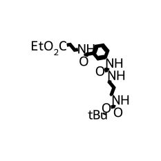 CCOC(=O)CCNC(=O)c1cccc(NC(=O)NCCCNC(=O)OC(C)(C)C)c1